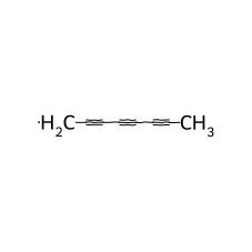 [CH2]C#CC#CC#CC